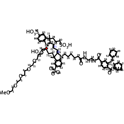 COCCOCCOCCOCCOCCOCC[N+]1=C(/C=C/C=C2/N(CCCCCC(=O)NCCNC(=O)c3ccc(C(=O)OC)c(P(c4ccccc4)c4ccccc4)c3)c3ccc(S(=O)(=O)[O-])cc3C2(C)CCCS(=O)(=O)O)C(C)(CCCS(=O)(=O)O)c2cc(S(=O)(=O)O)ccc21